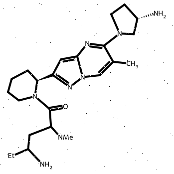 CCC(N)CC(NC)C(=O)N1CCCC[C@H]1c1cc2nc(N3CC[C@H](N)C3)c(C)cn2n1